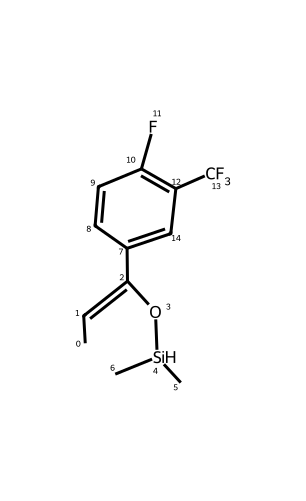 CC=C(O[SiH](C)C)c1ccc(F)c(C(F)(F)F)c1